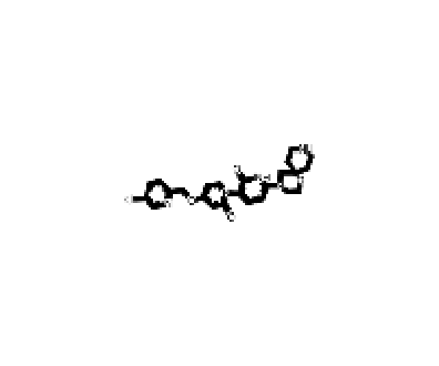 O=c1[nH]c(N2CCOC3(CCNCC3)C2)ccc1-n1ccc(OCc2ccc(Cl)cn2)cc1=O